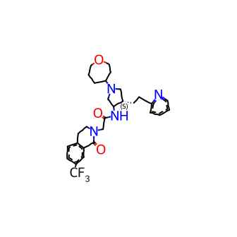 O=C(CN1CCc2ccc(C(F)(F)F)cc2C1=O)NC1CN(C2CCCOCC2)C[C@@H]1CCc1ccccn1